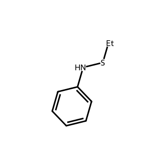 CCSNc1ccccc1